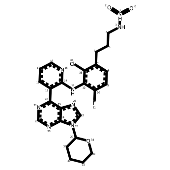 O=[SH](=O)NCCCc1ccc(F)c(Nc2ncccc2-c2ncnc3c2ncn3C2CCCCO2)c1Cl